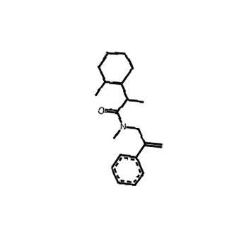 C=C(CN(C)C(=O)C(C)C1CCCCC1C)c1ccccc1